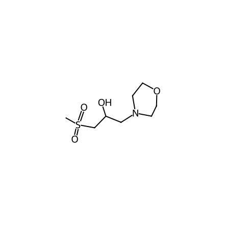 CS(=O)(=O)CC(O)CN1CCOCC1